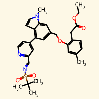 CCOC(=O)Cc1ccc(C)cc1OCc1cc(-c2ccnc(C=NS(=O)(=O)C(C)(C)C)c2)c2ccn(C)c2c1